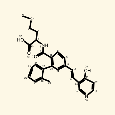 CSCCC(NC(=O)c1ccc(/C=C/c2cnccc2O)cc1-c1ccccc1C)C(=O)O